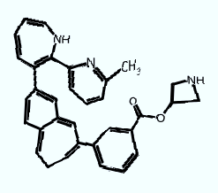 Cc1cccc(C2=C(c3ccc4c(c3)=CC(c3cccc(C(=O)OC5CNC5)c3)=CCC=4)C=CC=CN2)n1